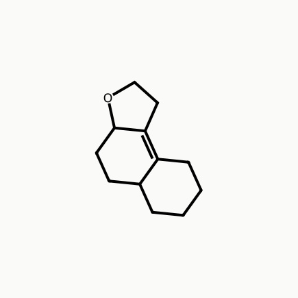 C1CCC2CCC3OCCC3=C2C1